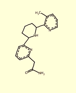 Cc1cccnc1C1CCCC(c2cccc(CC(N)=O)n2)N1